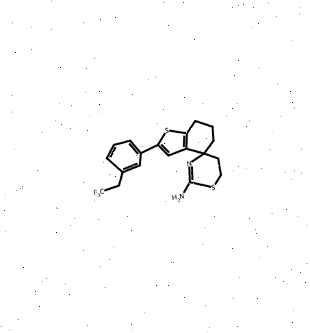 NC1=NC2(CCCc3sc(-c4cccc(CC(F)(F)F)c4)cc32)CCS1